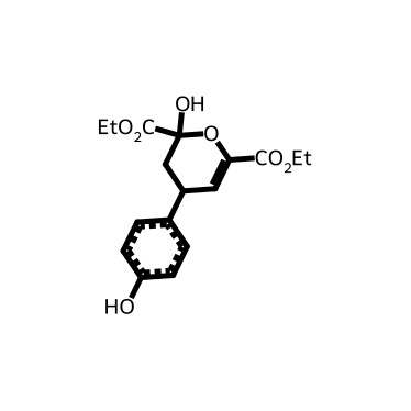 CCOC(=O)C1=CC(c2ccc(O)cc2)CC(O)(C(=O)OCC)O1